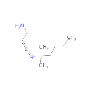 CCCCC(C)(C)N=C=CCN